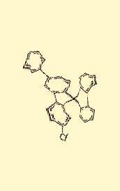 Clc1ccc2c(c1)C1(c3ccccc3-c3ccccc31)c1ccc(-c3ccccc3)cc1-2